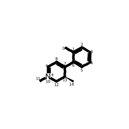 Cc1ccccc1C1=CC=[N+](C)C[C@@H]1C